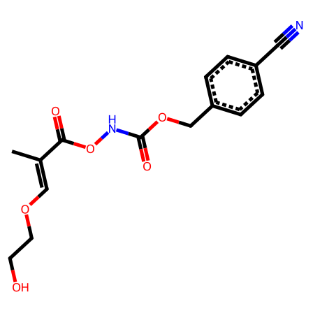 CC(=COCCO)C(=O)ONC(=O)OCc1ccc(C#N)cc1